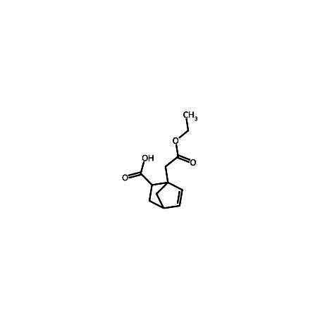 CCOC(=O)CC12C=CC(CC1C(=O)O)C2